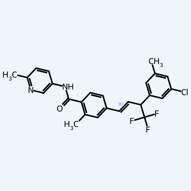 Cc1cc(Cl)cc(C(/C=C/c2ccc(C(=O)Nc3ccc(C)nc3)c(C)c2)C(F)(F)F)c1